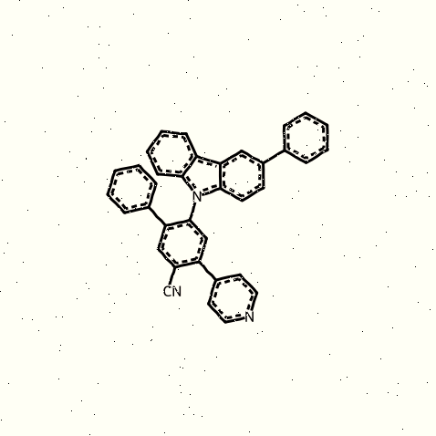 N#Cc1cc(-c2ccccc2)c(-n2c3ccccc3c3cc(-c4ccccc4)ccc32)cc1-c1ccncc1